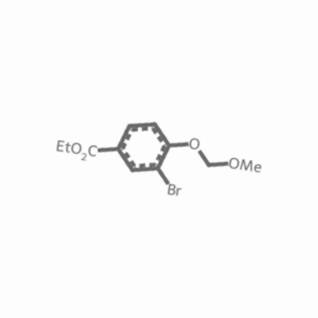 CCOC(=O)c1ccc(OCOC)c(Br)c1